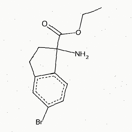 CCOC(=O)C1(N)CCc2cc(Br)ccc21